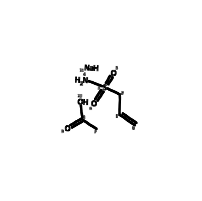 C=CCS(N)(=O)=O.CC(=O)O.[NaH]